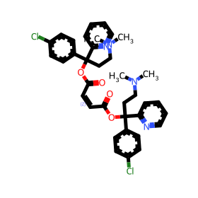 CN(C)CCC(OC(=O)/C=C\C(=O)OC(CCN(C)C)(c1ccc(Cl)cc1)c1ccccn1)(c1ccc(Cl)cc1)c1ccccn1